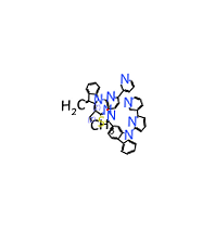 C=c1/c(=C(\C=C/C)c2nnc(-c3ccc4c5ccccc5n(-c5cccc(-c6cccnc6)n5)c4c3)s2)n(-c2cccc(-c3cccnc3)n2)c2ccccc12